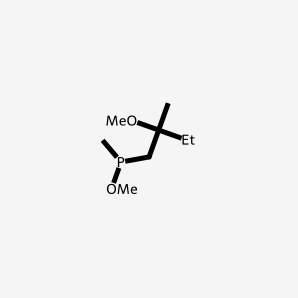 CCC(C)(CP(C)OC)OC